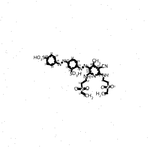 C=CS(=O)(=O)CCNc1nc(NCCS(=O)(=O)C=C)c(/N=N/c2ccc(/N=N/c3ccc(S(=O)(=O)O)cc3)cc2S(=O)(=O)O)c(C)c1C#N